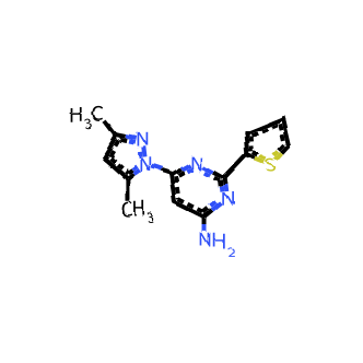 Cc1cc(C)n(-c2cc(N)nc(-c3cccs3)n2)n1